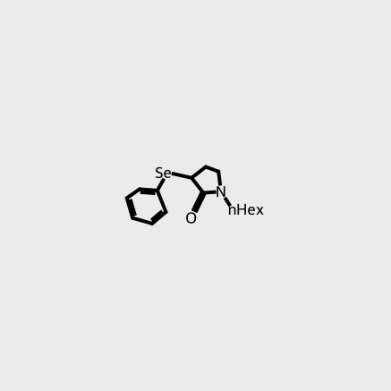 CCCCCCN1CCC([Se]c2ccccc2)C1=O